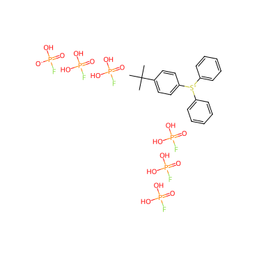 CC(C)(C)c1ccc([S+](c2ccccc2)c2ccccc2)cc1.O=P(O)(O)F.O=P(O)(O)F.O=P(O)(O)F.O=P(O)(O)F.O=P(O)(O)F.O=P([O-])(O)F